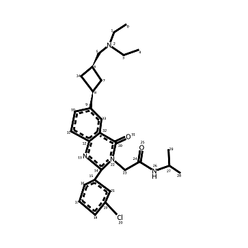 CCN(CC)C[C@H]1C[C@@H](c2ccc3nc(-c4cccc(Cl)c4)n(CC(=O)NC(C)C)c(=O)c3c2)C1